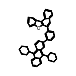 c1cc(-c2ccc3c(C4CCCCC4)c4ccccc4c(C4CCCCC4)c3c2)cc(-c2cc3ccccc3c3c2oc2ccccc23)c1